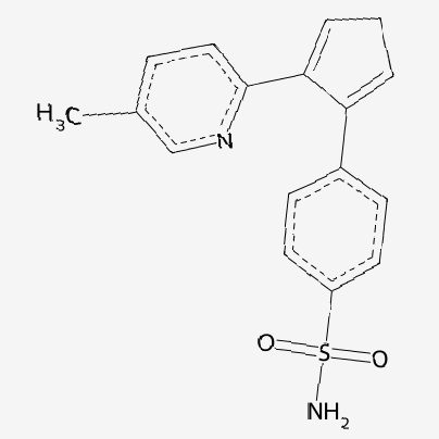 Cc1ccc(C2=CCC=C2c2ccc(S(N)(=O)=O)cc2)nc1